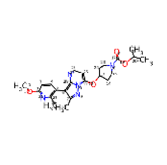 COc1ccc(-c2c(C)nn3c(OC4CCN(C(=O)OC(C)C)CC4)ccnc23)c(C)n1